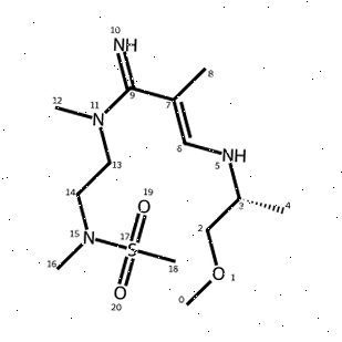 COC[C@@H](C)N/C=C(\C)C(=N)N(C)CCN(C)S(C)(=O)=O